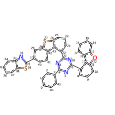 c1ccc(-c2nc(-c3cccc4oc5ccccc5c34)nc(-c3cccc4sc5cc(-c6nc7ccccc7s6)ccc5c34)n2)cc1